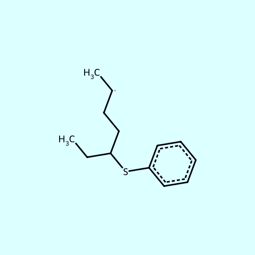 C[CH]CCC(CC)Sc1ccccc1